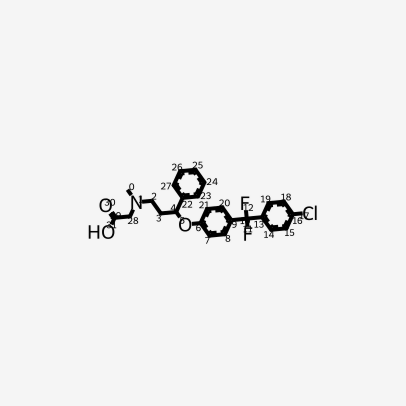 CN(CCC(Oc1ccc(C(F)(F)c2ccc(Cl)cc2)cc1)c1ccccc1)CC(=O)O